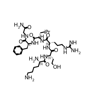 CC(C)C[C@H](NC(=O)[C@H](CCCNC(=N)N)NC(=O)[C@H](CCO)NC(=O)[C@@H](N)CCCCN)C(=O)N[C@@H](Cc1ccccc1)C(=O)NCC(N)=O